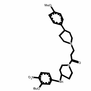 COc1ccc(C2CCN(CCC(=O)N3CCC(Nc4ccc([N+](=O)[O-])c(OCC(C)C)c4)CC3)CC2)cc1